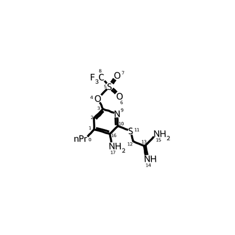 CCCc1cc(OS(=O)(=O)C(F)(F)F)nc(SCC(=N)N)c1N